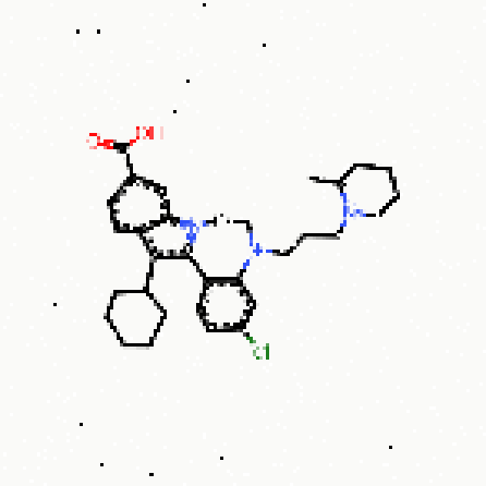 CC1CCCCN1CCCN1CCn2c(c(C3CCCCC3)c3ccc(C(=O)O)cc32)-c2ccc(Cl)cc21